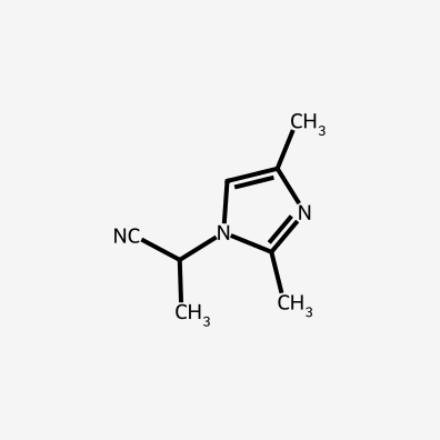 Cc1cn(C(C)C#N)c(C)n1